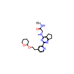 CN(CC(=O)NC(C)(C)C)c1nc(-c2cc(CCOC3CCCCO3)ccn2)nc2c1CCC2